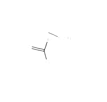 CC(=O)C(=O)Cl.CC(=O)O